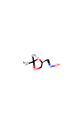 CC1(C)OC[C@H](C=NO)O1